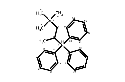 CC(C[Si](C)(C)C)[PH](c1ccccc1)(c1ccccc1)c1ccccc1